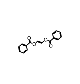 O=C(OC=COC(=O)c1ccccc1)c1ccccc1